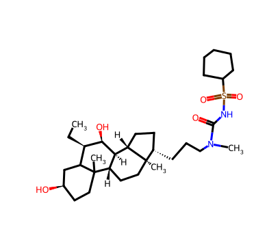 CC[C@@H]1C2C[C@H](O)CCC2(C)[C@H]2CC[C@]3(C)[C@@H](CCCN(C)C(=O)NS(=O)(=O)C4CCCCC4)CC[C@H]3[C@@H]2[C@@H]1O